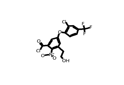 O=C(Cl)c1cc(Oc2ccc(C(F)(F)F)cc2Cl)cc(CCO)c1[N+](=O)[O-]